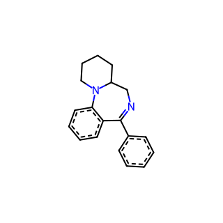 c1ccc(C2=NCC3CCCCN3c3ccccc32)cc1